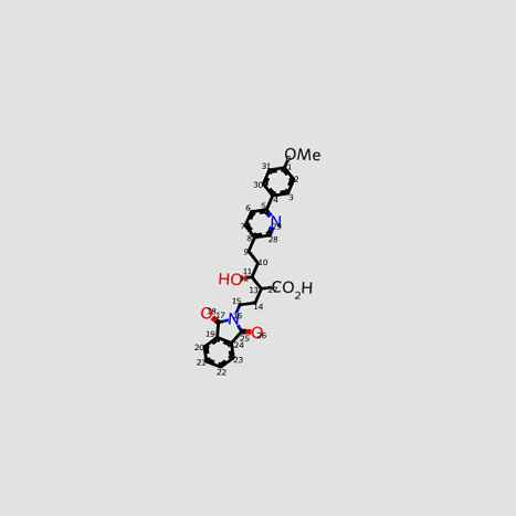 COc1ccc(-c2ccc(CCC(O)C(CCN3C(=O)c4ccccc4C3=O)C(=O)O)cn2)cc1